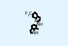 Cc1c(Nc2ccc3ccc(C(F)(F)F)cc3n2)ccc2cc[nH]c12